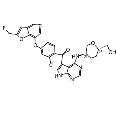 O=C(c1ccc(Oc2cccc3cc(CF)oc23)cc1Cl)c1c[nH]c2ncnc(N[C@@H]3CC[C@@H](CO)OC3)c12